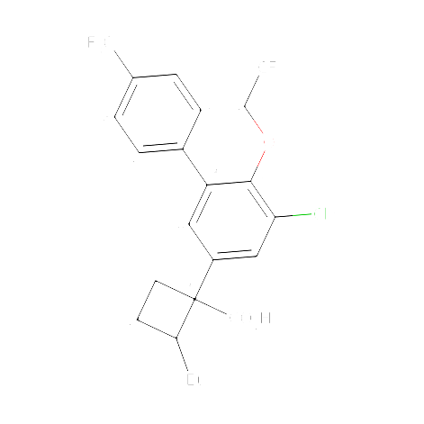 CCC1CCC1(C(=O)O)c1cc(Cl)c(OCC(F)(F)F)c(-c2ccc(C(F)(F)F)cc2)c1